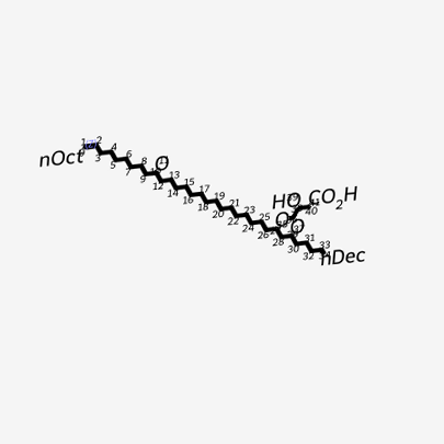 CCCCCCCC/C=C\CCCCCCCC(=O)CCCCCCCCCCCCCCCC(CCCCCCCCCCCCCCCC)OC(=O)C(O)CC(=O)O